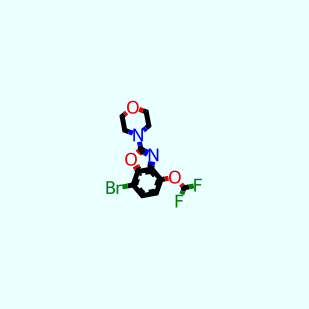 FC(F)Oc1ccc(Br)c2oc(N3CCOCC3)nc12